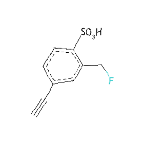 C#Cc1ccc(S(=O)(=O)O)c(CF)c1